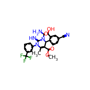 COC(=O)C1=C(C)N(c2cccc(C(F)(F)F)c2)C(=N)N(C(N)=O)C1c1ccc(C#N)cc1CO